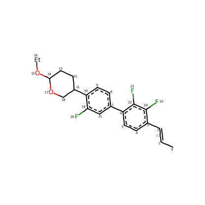 C/C=C/c1ccc(-c2ccc(C3CCC(OCC)OC3)c(F)c2)c(F)c1F